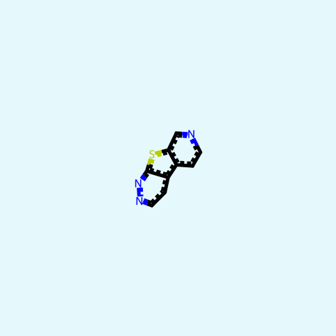 c1cc2c(cn1)sc1nnccc12